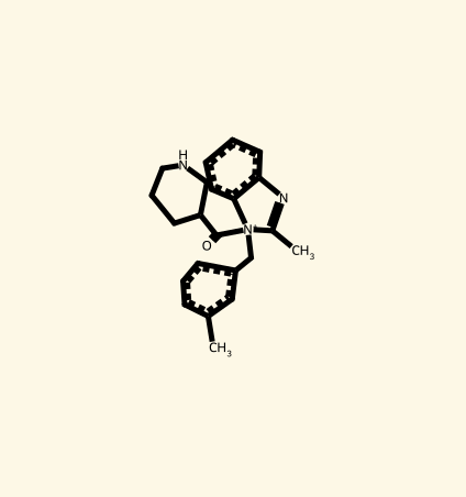 CC1=Nc2ccccc2[N+]1(Cc1cccc(C)c1)C(=O)C1CCCNC1